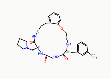 O=C1CNC(=O)[C@@H](Cc2cccc(C(F)(F)F)c2)NCCOc2ccccc2CCCNC(=O)[C@H](CN2CCCC2)N1